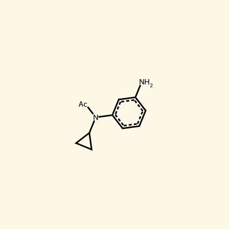 CC(=O)N(c1cccc(N)c1)C1CC1